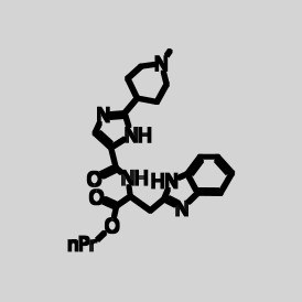 CCCOC(=O)C(Cc1nc2ccccc2[nH]1)NC(=O)c1cnc(C2CCN(C)CC2)[nH]1